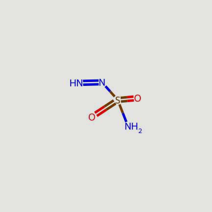 N=NS(N)(=O)=O